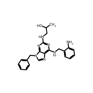 CC(O)CNc1nc(NCc2ccccc2N)c2ncn(Cc3ccccc3)c2n1